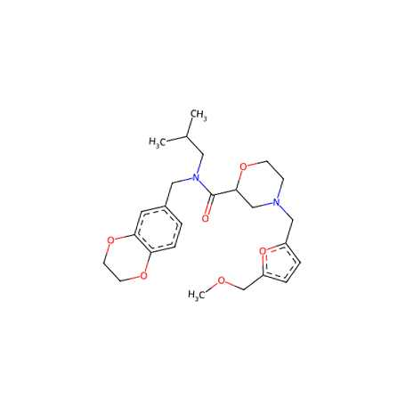 COCc1ccc(CN2CCOC(C(=O)N(Cc3ccc4c(c3)OCCO4)CC(C)C)C2)o1